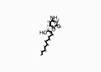 CCCCCCCCCC(CO)On1ccc(N)nc1=O